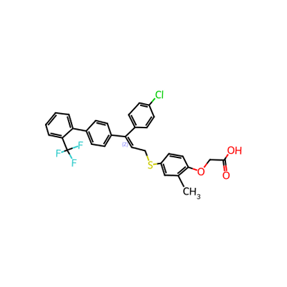 Cc1cc(SC/C=C(\c2ccc(Cl)cc2)c2ccc(-c3ccccc3C(F)(F)F)cc2)ccc1OCC(=O)O